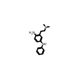 CN(C)CCc1cc(Nc2ccccc2)ccc1N